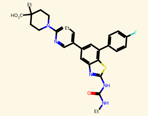 C=C(/N=C\C(=C/CC)c1cc(-c2ccc(F)cc2)c2sc(NC(=O)NCC)nc2c1)N1CCC(CC)(C(=O)O)CC1